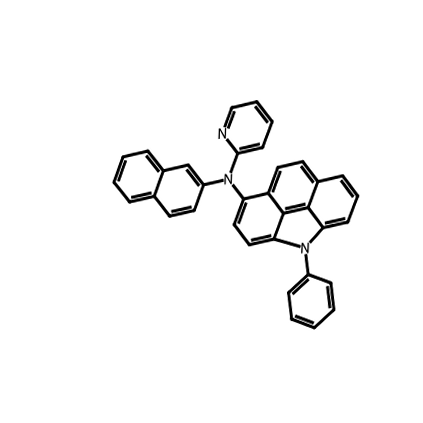 c1ccc(-n2c3cccc4ccc5c(N(c6ccc7ccccc7c6)c6ccccn6)ccc2c5c43)cc1